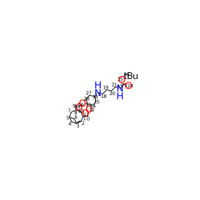 CC1C=C2CC(C2)CC(C)C12OOC1(CCC(NCCCCNC(=O)OC(C)(C)C)CC1)OO2